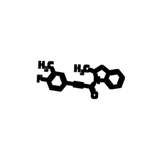 Cc1cc(C#CC(=O)N2c3ccccc3CC2C)ccc1F